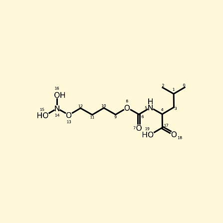 CC(C)CC(NC(=O)OCCCCON(O)O)C(=O)O